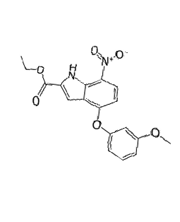 CCOC(=O)c1cc2c(Oc3cccc(OC)c3)ccc([N+](=O)[O-])c2[nH]1